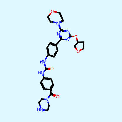 O=C(Nc1ccc(C(=O)N2CCNCC2)cc1)Nc1ccc(-c2nc(OC3CCOC3)nc(N3CCOCC3)n2)cc1